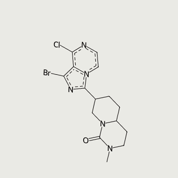 CN1CCC2CCC(c3nc(Br)c4c(Cl)nccn34)CN2C1=O